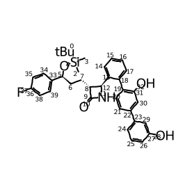 CC(C)(C)[Si](C)(C)O[C@@H](CC[C@H]1C(=O)N[C@@H]1c1ccccc1-c1ccc(-c2cccc(O)c2)cc1O)c1ccc(F)cc1